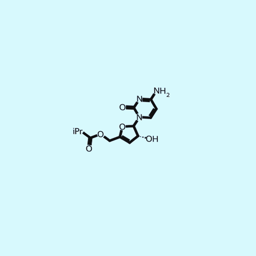 CC(C)C(=O)OCC1=C[C@@H](O)C(n2ccc(N)nc2=O)O1